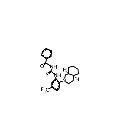 O=C(NC(=S)Nc1cc(C(F)(F)F)ccc1N1CC[C@@H]2CCCC[C@H]2C1)c1ccccc1